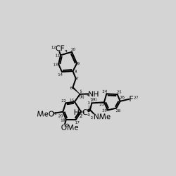 C=C(NC)[C@H](N[C@H](CCc1ccc(C(F)(F)F)cc1)c1ccc(OC)c(OC)c1)c1ccc(F)cc1